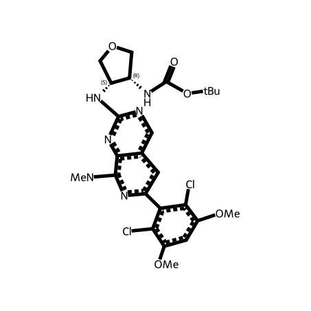 CNc1nc(-c2c(Cl)c(OC)cc(OC)c2Cl)cc2cnc(N[C@@H]3COC[C@@H]3NC(=O)OC(C)(C)C)nc12